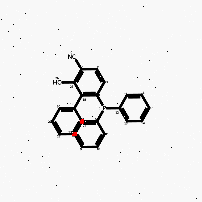 N#Cc1ccc(P(c2ccccc2)c2ccccc2)c(-c2ccccc2)c1O